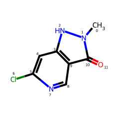 Cn1[nH]c2cc(Cl)ncc2c1=O